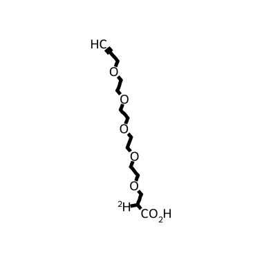 [2H]C(COCCOCCOCCOCCOCC#C)C(=O)O